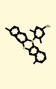 Cc1ccc2cc3c(cc2c1)Oc1cc2c(C)cccc2cc1N3c1c(C)cc(C(C)(C)C)cc1C